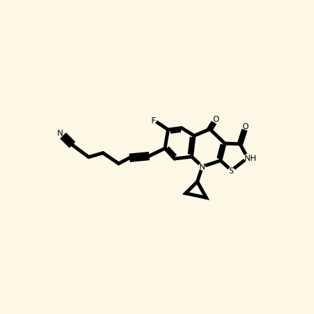 N#CCCCC#Cc1cc2c(cc1F)c(=O)c1c(=O)[nH]sc1n2C1CC1